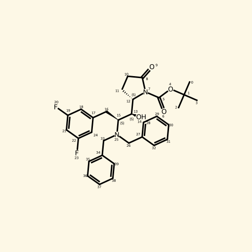 CC(C)(C)OC(=O)N1C(=O)CC[C@H]1[C@@H](O)[C@H](Cc1cc(F)cc(F)c1)N(Cc1ccccc1)Cc1ccccc1